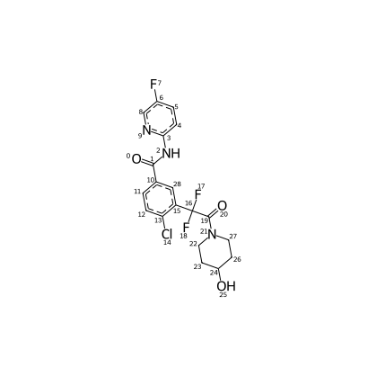 O=C(Nc1ccc(F)cn1)c1ccc(Cl)c(C(F)(F)C(=O)N2CCC(O)CC2)c1